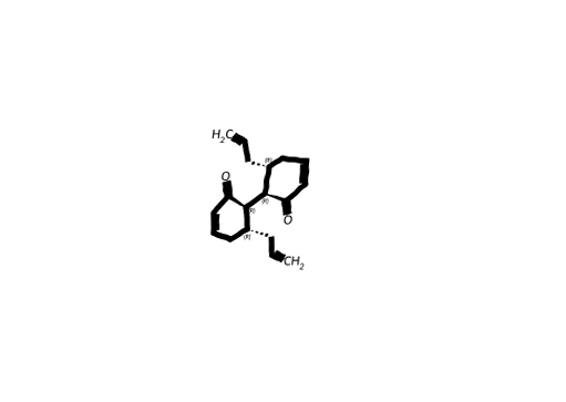 C=CC[C@@H]1CC=CC(=O)[C@H]1[C@@H]1C(=O)C=CC[C@H]1CC=C